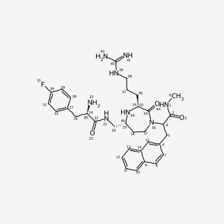 CNC(=O)C(Cc1ccc2ccccc2c1)N1CC[C@H](CNC(=O)[C@H](N)Cc2ccc(F)cc2)N[C@@H](CCCNC(=N)N)C1=O